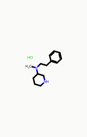 CN(CCc1ccccc1)C1CCCNC1.Cl